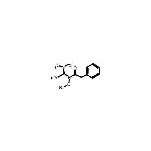 CCCC(N(C)C)N(OC(C)CC)C(=O)Cc1ccccc1